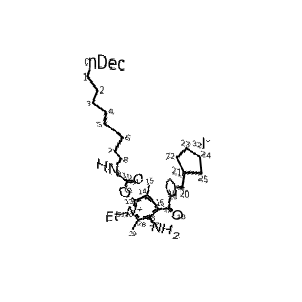 CCCCCCCCCCCCCCCCCCNC(=O)Oc1c(C)c(C(=O)OCC2CCCC2)c(N)c(C)[n+]1CC.[I-]